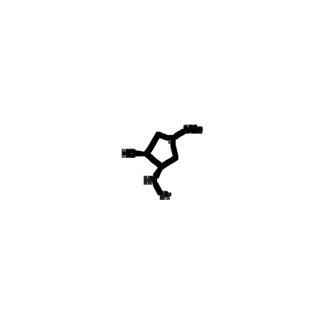 CSN1C[C@H](O)[C@H](NC(C)C)C1